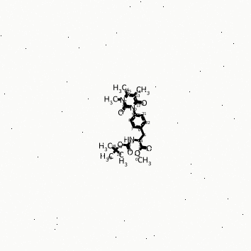 COC(=O)C(Cc1ccc(-n2c(=O)c(C)c(C)n(C)c2=O)cc1)NC(=O)OC(C)(C)C